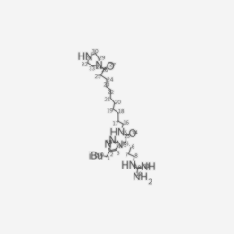 CC[C@H](C)Cc1cn([C@@H](CCCNC(=N)N)C(=O)NCCCCCCCCCCC(=O)N2CCNCC2)nn1